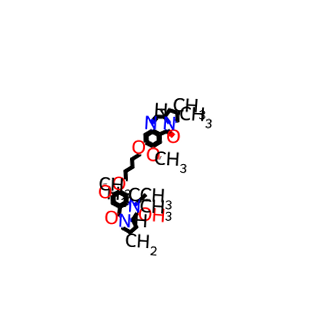 C=C1C[C@H]2C(O)N(C(C)(C)C)c3cc(OCCCCCOc4cc5c(cc4OC)C(=O)N4CC(C)(C)C[C@H]4C=N5)c(OC)cc3C(=O)N2C1